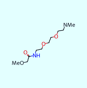 CNCCOCCOCCNC(=O)COC